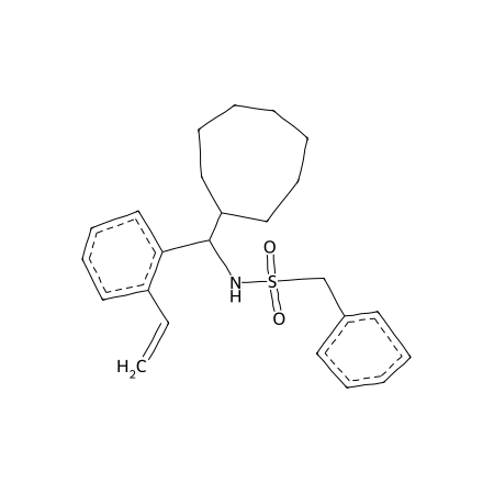 C=Cc1ccccc1C(NS(=O)(=O)Cc1ccccc1)C1CCCCCCC1